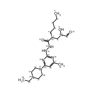 CCCCC[C@@H](CN(O)C=O)C(=O)NNc1nc(C)cc(N2CCN(CC)CC2)n1